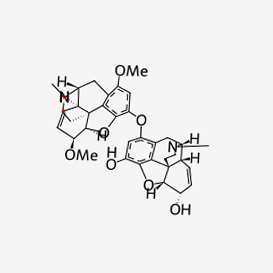 COc1cc(Oc2cc(O)c3c4c2C[C@@H]2[C@@H]5C=C[C@H](O)[C@H](O3)[C@]45CCN2C)c2c3c1C[C@@H]1[C@@H]4C=C[C@H](OC)[C@H](O2)[C@]34CCN1C